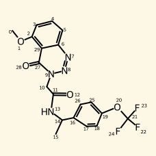 COc1cccc2nnn(CC(=O)NC(C)c3ccc(OC(F)(F)F)cc3)c(=O)c12